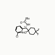 CC(C)(C)[S+]([O-])N[C@@H](c1cccc(Cl)n1)C1(O)CCC(F)(F)CC1